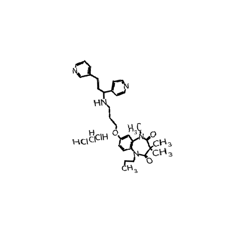 CCCN1C(=O)C(C)(C)C(=O)N(C)c2cc(OCCCNC(CCc3cccnc3)c3ccncc3)ccc21.Cl.Cl.Cl